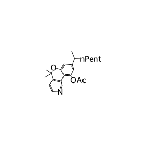 CCCCCC(C)c1cc(OC(C)=O)c2c(c1)OC(C)(C)c1ccncc1-2